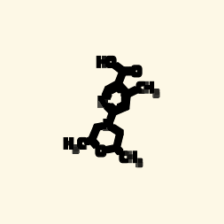 Cc1cc(N2CC(C)OC(C)C2)ncc1C(=O)O